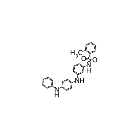 Cc1ccccc1S(=O)(=O)Nc1cccc(Nc2ccc(Nc3ccccc3)cc2)c1